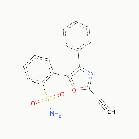 C#Cc1nc(-c2ccccc2)c(-c2ccccc2S(N)(=O)=O)o1